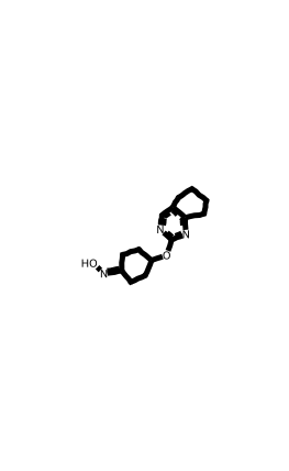 ON=C1CCC(Oc2ncc3c(n2)CCCC3)CC1